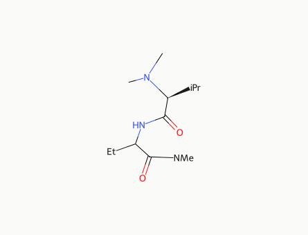 CCC(NC(=O)[C@H](C(C)C)N(C)C)C(=O)NC